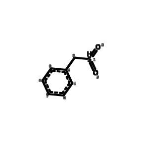 O=[SH](=O)Cc1cc[c]cc1